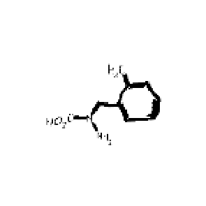 Cc1ccccc1CN(N)C(=O)O